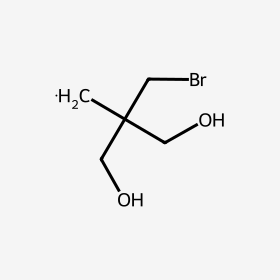 [CH2]C(CO)(CO)CBr